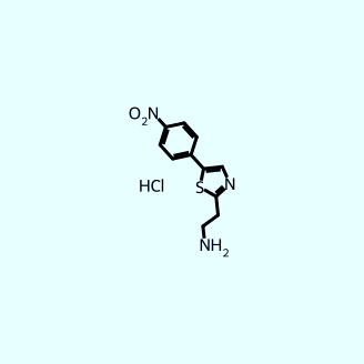 Cl.NCCc1ncc(-c2ccc([N+](=O)[O-])cc2)s1